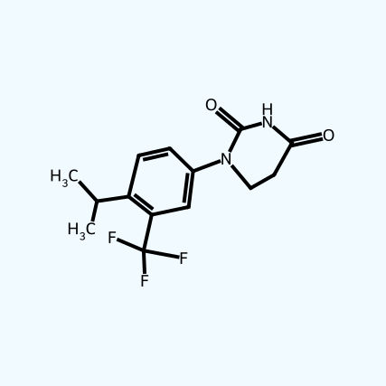 CC(C)c1ccc(N2CCC(=O)NC2=O)cc1C(F)(F)F